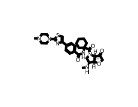 CN[C@H]1CN(C(=O)C2(NC(=O)c3ccc(-c4csc(N5CCN(C)CC5)n4)cc3)CCCCC2)[C@@H]2C(=O)CO[C@H]12